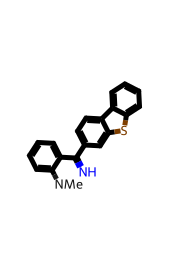 CNc1ccccc1C(=N)c1ccc2c(c1)sc1ccccc12